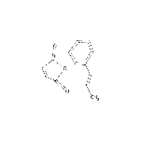 CC=Cc1ccccc1.O=C1C=CC(=O)O1